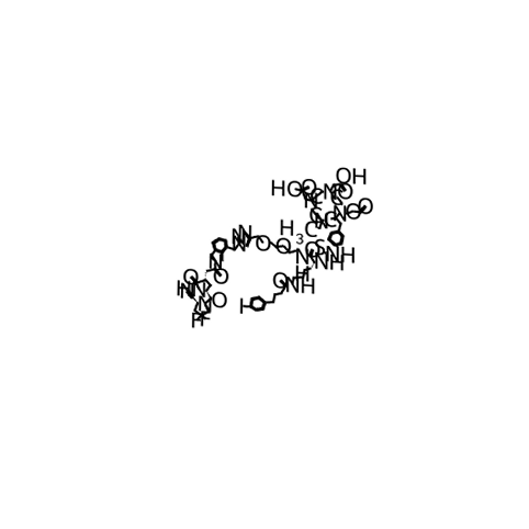 CCN1CCN(CC(=O)O)CCN(CC(=O)O)CCN(COC=O)C(Cc2ccc(NC(=S)N[C@H](CCCCNC(=O)CCCc3ccc(I)cc3)C(=O)NCCOCCOCc3cn(Cc4cccc5c4CN(C(=O)C[C@@H]4C[C@@H](C(=O)N6CC(F)(F)C[C@H]6C#N)NC4=O)C5)nn3)cc2)C1